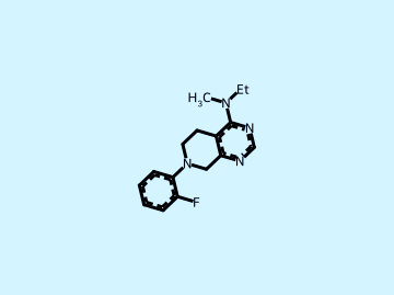 CCN(C)c1ncnc2c1CCN(c1ccccc1F)C2